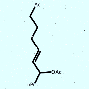 CCCC(C=CCCCC(C)=O)OC(C)=O